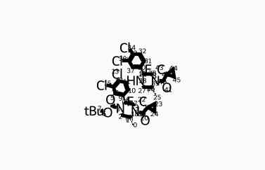 C[C@@H]1CN(C(=O)OC(C)(C)C)[C@@H](c2ccc(Cl)c(Cl)c2)CN1C(=O)C1(C(F)(F)F)CC1.C[C@@H]1CN[C@@H](c2ccc(Cl)c(Cl)c2)CN1C(=O)C1(C(F)(F)F)CC1